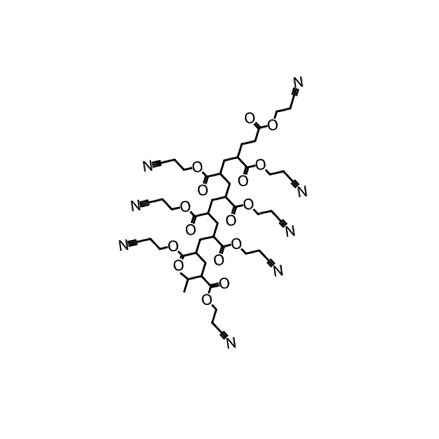 CC(C)C(CC(CC(CC(CC(CC(CC(CCC(=O)OCCC#N)C(=O)OCCC#N)C(=O)OCCC#N)C(=O)OCCC#N)C(=O)OCCC#N)C(=O)OCCC#N)C(=O)OCCC#N)C(=O)OCCC#N